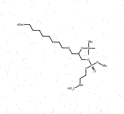 CCCCCCCCCCCCCCCCCCOCC(COP(=O)(OCCNC(=O)O)OC(C)(C)C)O[Si](C)(C)C(C)(C)C